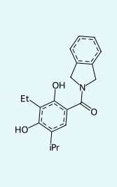 CCc1c(O)c(C(=O)N2Cc3ccccc3C2)cc(C(C)C)c1O